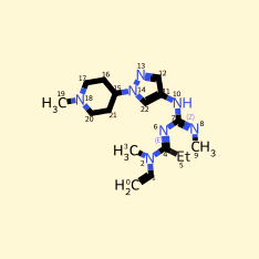 C=CN(C)/C(CC)=N/C(=N\C)Nc1cnn(C2CCN(C)CC2)c1